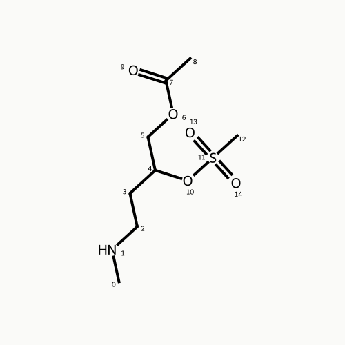 CNCCC(COC(C)=O)OS(C)(=O)=O